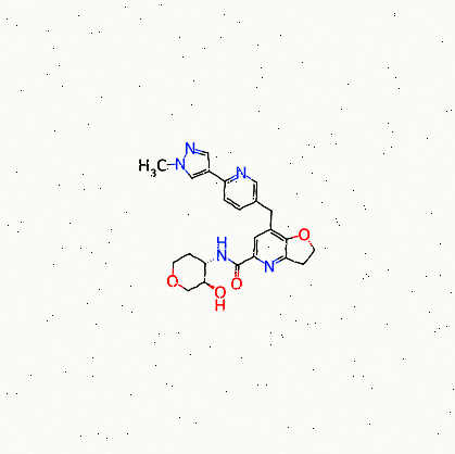 Cn1cc(-c2ccc(Cc3cc(C(=O)N[C@H]4CCOC[C@@H]4O)nc4c3OCC4)cn2)cn1